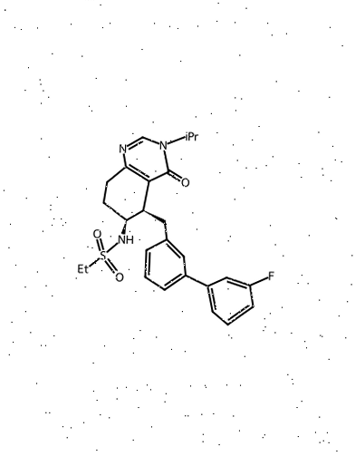 CCS(=O)(=O)N[C@H]1CCc2ncn(C(C)C)c(=O)c2[C@H]1Cc1cccc(-c2cccc(F)c2)c1